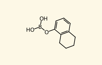 OB(O)Oc1cccc2c1CCCC2